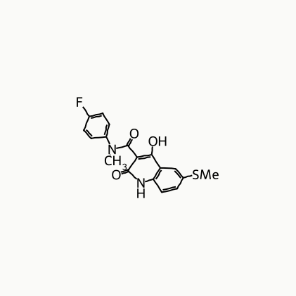 CSc1ccc2[nH]c(=O)c(C(=O)N(C)c3ccc(F)cc3)c(O)c2c1